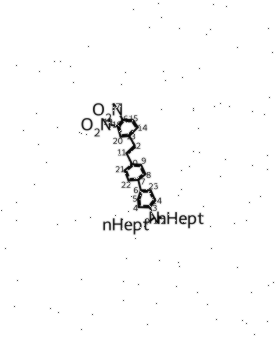 CCCCCCCN(CCCCCCC)c1ccc(-c2ccc(C=Cc3ccc([N+](=O)[O-])c([N+](=O)[O-])c3)cc2)cc1